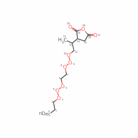 CCCCCCCCCCCCOOOCCOOOCC(C)C1CC(=O)OC1=O